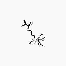 C=C(C)C(=O)OCCC[Si](C)(OC)[Si](OC)(OC)OC